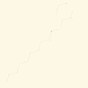 CCCCCCCCCCCCCCCCCNC(=O)SC1CCCOC1C